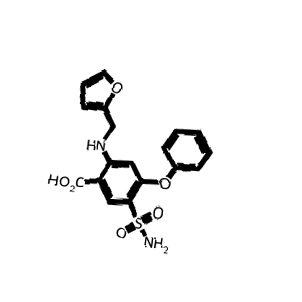 NS(=O)(=O)c1cc(C(=O)O)c(NCc2ccco2)cc1Oc1ccccc1